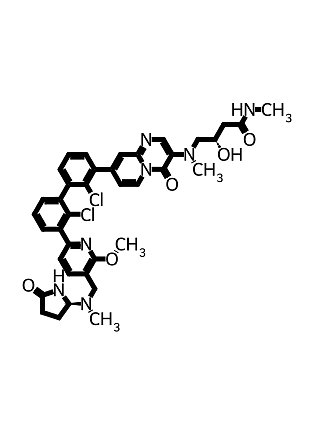 CNC(=O)C[C@H](O)CN(C)c1cnc2cc(-c3cccc(-c4cccc(-c5ccc(CN(C)[C@H]6CCC(=O)N6)c(OC)n5)c4Cl)c3Cl)ccn2c1=O